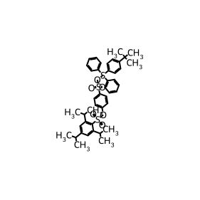 CC(C)c1cc(C(C)C)c(S(=O)(=O)Oc2ccc(S(=O)(=O)OS(c3ccccc3)(c3ccccc3)c3ccc(C(C)(C)C)cc3)cc2)c(C(C)C)c1